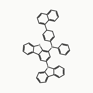 C1=CC(c2cccc3ccccc23)CC=C1N(c1ccccc1)c1cc(-n2c3ccccc3c3ccccc32)cc2c1sc1ccccc12